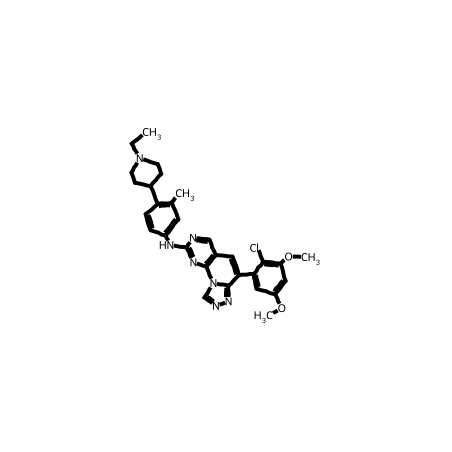 CCN1CCC(c2ccc(Nc3ncc4cc(-c5cc(OC)cc(OC)c5Cl)c5nncn5c4n3)cc2C)CC1